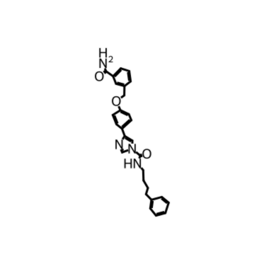 NC(=O)c1cccc(COc2ccc(-c3cn(C(=O)NCCCCc4ccccc4)cn3)cc2)c1